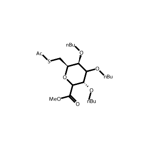 CCCCOC1[C@H](OCCCC)C(C(=O)OC)O[C@@H](CSC(C)=O)[C@H]1OCCCC